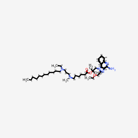 CCCCCCCCCCCCN(CC)CCCN(C)CCCCCC(=O)OC(C)(C)Cn1c(COCC)nc2c(N)nc3ccccc3c21